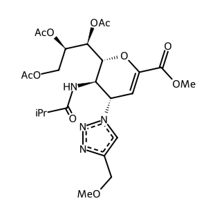 COCc1cn([C@H]2C=C(C(=O)OC)O[C@@H]([C@H](OC(C)=O)[C@@H](COC(C)=O)OC(C)=O)[C@@H]2NC(=O)C(C)C)nn1